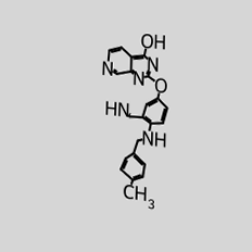 Cc1ccc(CNc2ccc(Oc3nc(O)c4ccncc4n3)cc2C=N)cc1